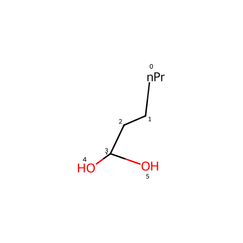 [CH2]CCCC[C](O)O